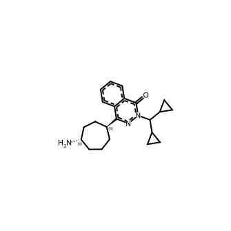 N[C@H]1CCC[C@H](c2nn(C(C3CC3)C3CC3)c(=O)c3ccccc23)CC1